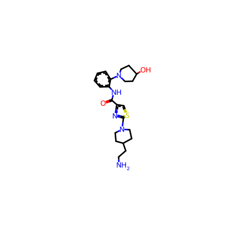 NCCC1CCN(c2nc(C(=O)Nc3ccccc3N3CCC(O)CC3)cs2)CC1